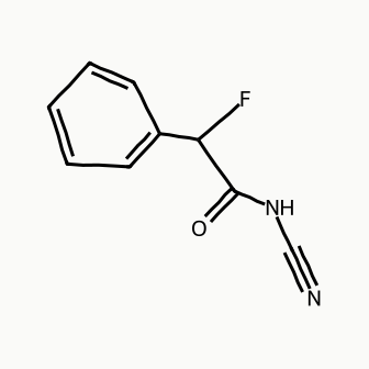 N#CNC(=O)C(F)c1ccccc1